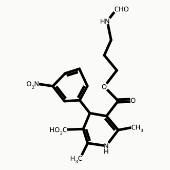 CC1=C(C(=O)O)C(c2cccc([N+](=O)[O-])c2)C(C(=O)OCCCNC=O)=C(C)N1